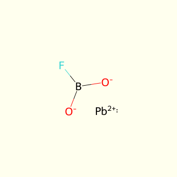 [O-]B([O-])F.[Pb+2]